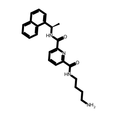 C[C@@H](NC(=O)c1cccc(C(=O)NCCCCN)n1)c1cccc2ccccc12